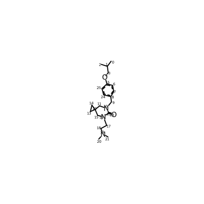 CC(C)COc1ccc(CN2CC3(CC3)CN(CCN(C)C)C2=O)cc1